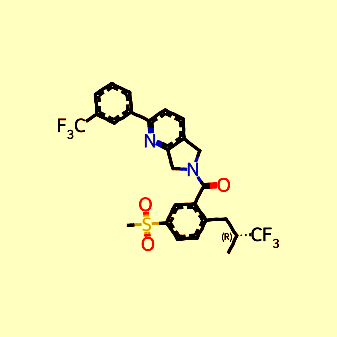 C[C@H](Cc1ccc(S(C)(=O)=O)cc1C(=O)N1Cc2ccc(-c3cccc(C(F)(F)F)c3)nc2C1)C(F)(F)F